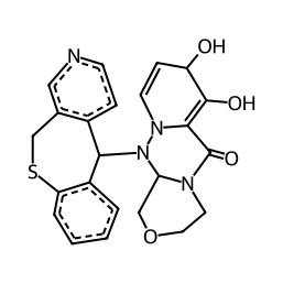 O=C1C2=C(O)C(O)C=CN2N(C2c3ccncc3CSc3ccccc32)C2COCCN12